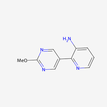 COc1ncc(-c2ncccc2N)cn1